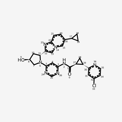 O=C(Nc1cc(N2C[C@@H](O)C[C@@H]2c2cn3cc(C4CC4)ccc3n2)ncn1)[C@H]1C[C@@H]1c1cc(Cl)ccn1